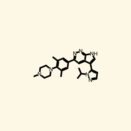 Cc1cc(-c2cc3c(-c4ccnn4C(C)C)c[nH]c3nn2)cc(C)c1N1CCN(C)CC1